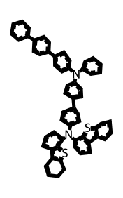 C1=Cc2c(sc3c(N(c4ccc(-c5ccc(N(c6ccccc6)c6ccc(-c7ccc(-c8ccccc8)cc7)cc6)cc5)cc4)c4cccc5c4sc4ccccc45)cccc23)CC1